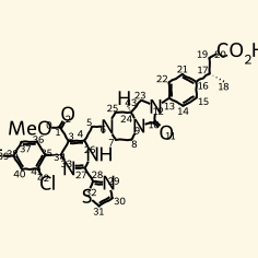 COC(=O)C1=C(CN2CCN3C(=O)N(c4ccc([C@@H](C)CC(=O)O)cc4)C[C@@H]3C2)NC(c2nccs2)=N[C@H]1c1ccc(F)cc1Cl